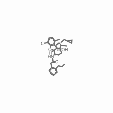 CCCc1ccccc1CC(=O)N[C@@H]1CC[C@@]2(O)C(C)N(CC3CC3)CC[C@@]23c2c(C)ccc(Cl)c2O[C@@H]13